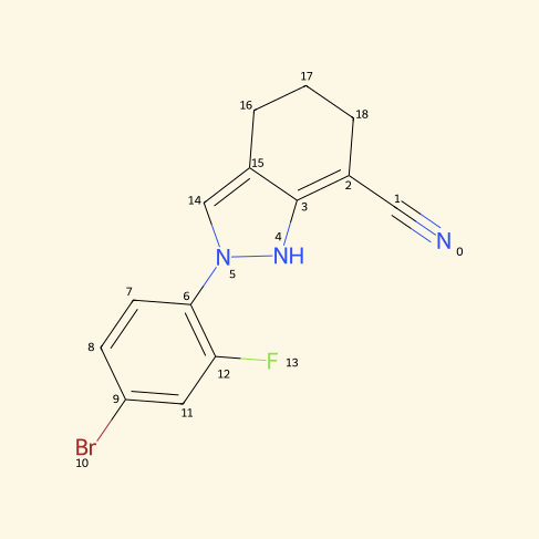 N#CC1=C2NN(c3ccc(Br)cc3F)C=C2CCC1